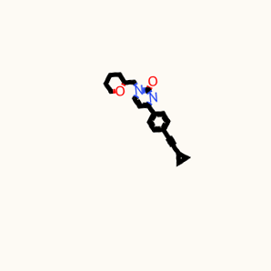 O=c1nc(-c2ccc(C#CC3CC3)cc2)ccn1CC1CCCCO1